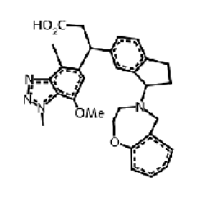 COc1cc(C(CC(=O)O)c2ccc3c(c2)C(N2CCOc4ccccc4C2)CC3)c(C)c2nnn(C)c12